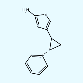 Nc1nc(C2C[C@@H]2c2ccccc2)cs1